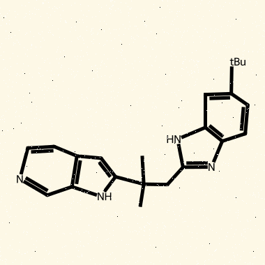 CC(C)(C)c1ccc2nc(CC(C)(C)c3cc4ccncc4[nH]3)[nH]c2c1